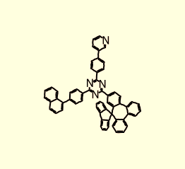 c1cncc(-c2ccc(-c3nc(-c4ccc(-c5cccc6ccccc56)cc4)nc(-c4ccc5c(c4)C4(c6ccccc6-c6ccccc6-5)c5ccccc5-c5ccccc54)n3)cc2)c1